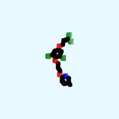 Cc1ccc(OCCCOc2c(Cl)cc(OCC=C(Cl)Cl)cc2Cl)nc1